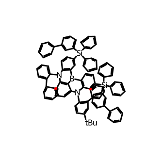 CC(C)(C)c1ccc(N2c3cc([Si](c4ccccc4)(c4ccccc4)c4cccc(-c5ccccc5)c4)ccc3B3c4cc([Si](c5ccccc5)(c5ccccc5)c5cccc(-c6ccccc6)c5)ccc4N(c4ccccc4-c4ccccc4)c4cccc2c43)c(-c2ccccc2)c1